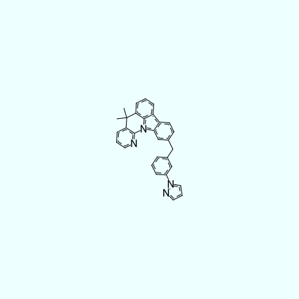 CC1(C)c2cccnc2-n2c3cc(Cc4cccc(-n5cccn5)c4)ccc3c3cccc1c32